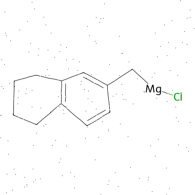 [Cl][Mg][CH2]c1ccc2c(c1)CCCC2